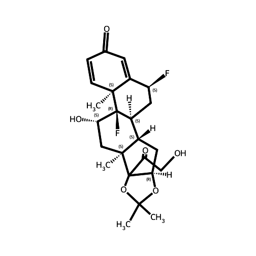 CC1(C)O[C@@H]2C[C@H]3[C@@H]4C[C@H](F)C5=CC(=O)C=C[C@]5(C)[C@@]4(F)[C@@H](O)C[C@]3(C)C2(C(=O)CO)O1